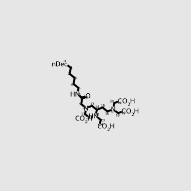 CCCCCCCCCCCCCCCNC(=O)CN(CC(=O)O)CC(CCN(CC(=O)O)CC(=O)O)NCC(=O)O